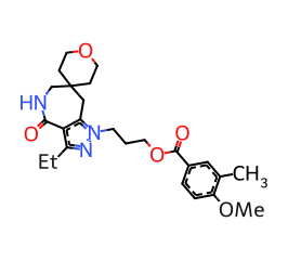 CCc1nn(CCCOC(=O)c2ccc(OC)c(C)c2)c2c1C(=O)NCC1(CCOCC1)C2